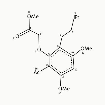 COC(=O)COc1c(CCC(C)C)c(OC)cc(OC)c1C(C)=O